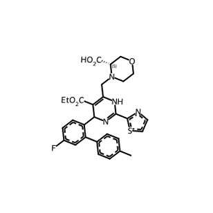 CCOC(=O)C1=C(CN2CCOC[C@H]2C(=O)O)NC(c2nccs2)=NC1c1ccc(F)cc1-c1ccc(C)cc1